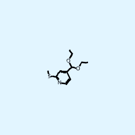 CCOC(OCC)c1ccnc(SC)c1